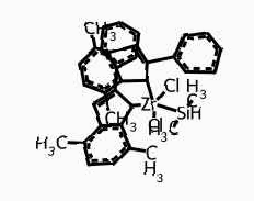 Cc1ccc(C)c2c1C=C(c1ccccc1)[CH]2[Zr]([Cl])([Cl])([CH]1C(c2ccccc2)=Cc2c(C)ccc(C)c21)[SiH](C)C